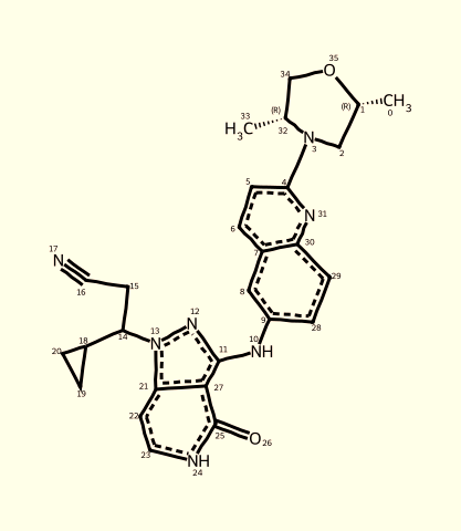 C[C@@H]1CN(c2ccc3cc(Nc4nn(C(CC#N)C5CC5)c5cc[nH]c(=O)c45)ccc3n2)[C@H](C)CO1